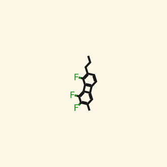 CCCc1ccc2c(c1F)-c1c-2cc(C)c(F)c1F